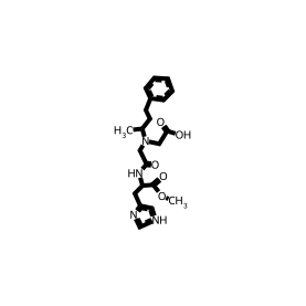 COC(=O)C(Cc1c[nH]cn1)NC(=O)CN(CC(=O)O)C(C)CCc1ccccc1